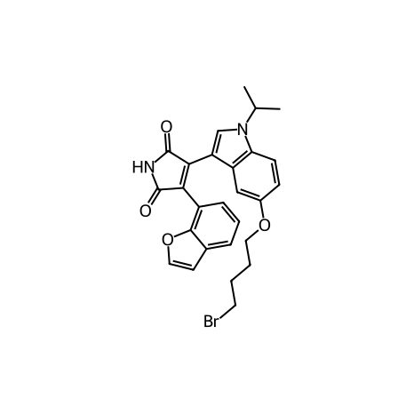 CC(C)n1cc(C2=C(c3cccc4ccoc34)C(=O)NC2=O)c2cc(OCCCCBr)ccc21